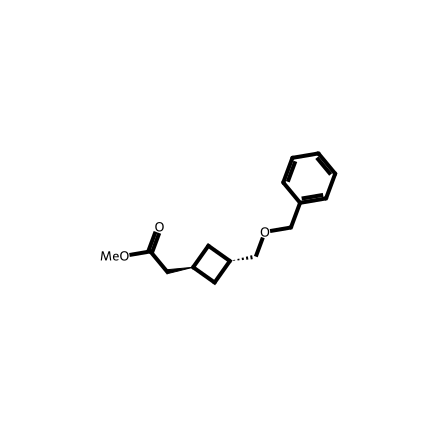 COC(=O)C[C@H]1C[C@H](COCc2ccccc2)C1